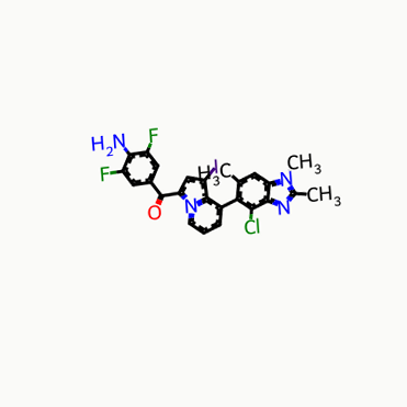 Cc1cc2c(nc(C)n2C)c(Cl)c1-c1cccn2c(C(=O)c3cc(F)c(N)c(F)c3)cc(I)c12